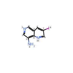 Nc1cncc2cc(I)cnc12